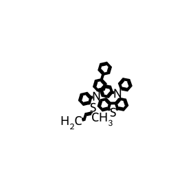 C=C/C=C(\C)Sc1ccccc1N(c1ccc(-c2ccccc2)cc1)c1ccc2sc3cccc(N(c4ccccc4)c4ccccc4)c3c2c1